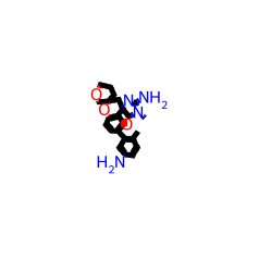 Cc1ccc(N)cc1-c1ccc2c(c1)C1(CC3(CCCOC3)O2)N=C(N)N(C)C1=O